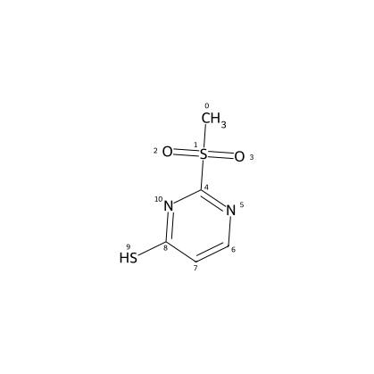 CS(=O)(=O)c1nccc(S)n1